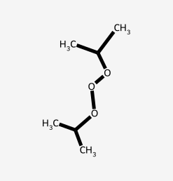 CC(C)OOOC(C)C